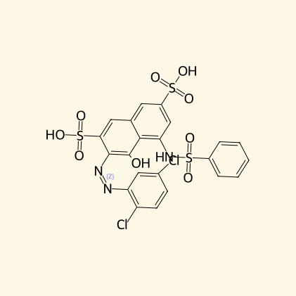 O=S(=O)(O)c1cc(NS(=O)(=O)c2ccccc2)c2c(O)c(/N=N\c3cc(Cl)ccc3Cl)c(S(=O)(=O)O)cc2c1